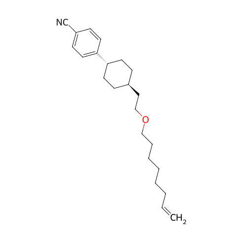 C=CCCCCCCOCC[C@H]1CC[C@H](c2ccc(C#N)cc2)CC1